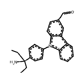 CCC(N)(CC)c1ccc(-n2c3ccccc3c3cc(C=O)ccc32)cc1